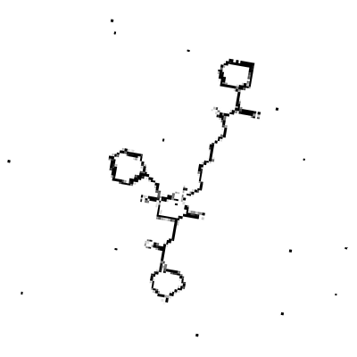 O=C(CCCCCNC(=O)C(CC(=O)N1CCOCC1)CS(=O)(=O)Cc1ccccc1)C(=O)c1ccccc1